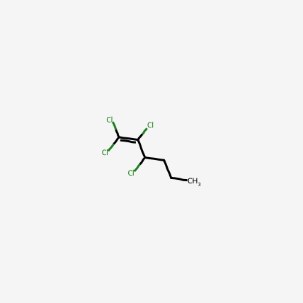 CCCC(Cl)C(Cl)=C(Cl)Cl